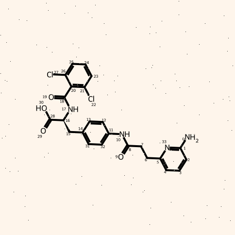 Nc1cccc(CCC(=O)Nc2ccc(C[C@H](NC(=O)c3c(Cl)cccc3Cl)C(=O)O)cc2)n1